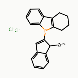 [Cl-].[Cl-].[Zr+2][CH]1C(p2c3c(c4ccccc42)CCCC3)=Cc2ccccc21